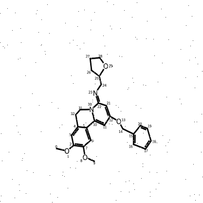 COc1cc2c(cc1OC)-c1cc(OCc3ccccc3)cc(=NCC3CCCO3)n1CC2